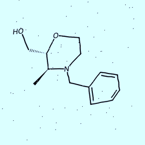 C[C@H]1[C@H](CO)OCCN1Cc1ccccc1